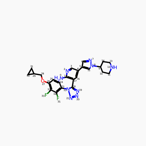 Nc1ncc(-c2cnn(C3CCNCC3)c2)cc1-c1nnnn1-c1ccc(OCC2CC2)c(F)c1F